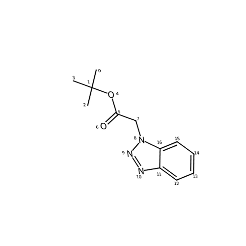 CC(C)(C)OC(=O)Cn1nnc2ccccc21